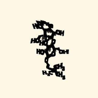 CCCO[C@H]1[C@@H](O)[C@@H](CO)O[C@@H](O[C@@H]2[C@H](O)[C@@H](O)[C@@H](OCC[Si](C)(C)C)O[C@@H]2CO)[C@@H]1O